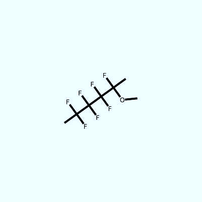 COC(C)(F)C(F)(F)C(F)(F)C(C)(F)F